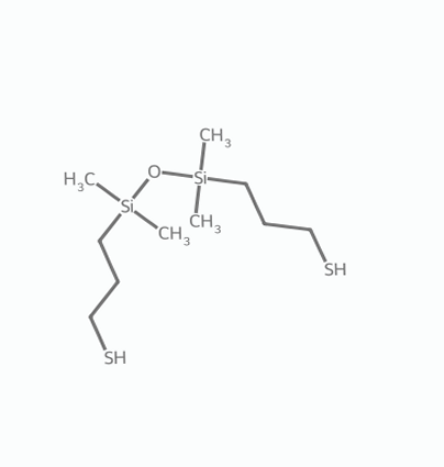 C[Si](C)(CCCS)O[Si](C)(C)CCCS